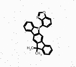 CC1(C)c2ccccc2-c2cc3c(cc21)c1ccccc1n3-c1cccc2ocnc12